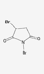 O=C1CC(Br)C(=O)N1Br